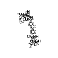 COC(=O)N[C@H](C(=O)N1[C@@H]2C[C@@H]2C[C@H]1c1ncc(-c2ccc3cc(-c4ccc(-c5[nH]c([C@@H]6C[C@H]7C[C@H]7N6C(=O)CC(C)C)nc5Cl)cc4)ccc3c2)[nH]1)C1CCOCC1